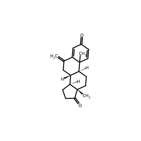 C=C1C[C@@H]2[C@H](CC[C@]3(C)C(=O)CC[C@@H]23)C2(C)C=CC(=O)C=C12